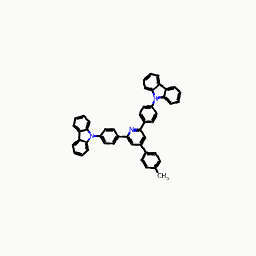 Cc1ccc(-c2cc(-c3ccc(-n4c5ccccc5c5ccccc54)cc3)nc(-c3ccc(-n4c5ccccc5c5ccccc54)cc3)c2)cc1